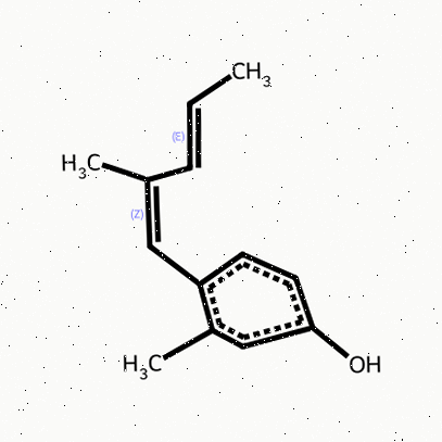 C/C=C/C(C)=C\c1ccc(O)cc1C